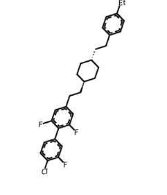 CCc1ccc(CC[C@H]2CC[C@H](CCc3cc(F)c(-c4ccc(Cl)c(F)c4)c(F)c3)CC2)cc1